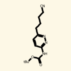 CC(C)(C)OC(=O)Nc1ccc(CCCCC#N)nn1